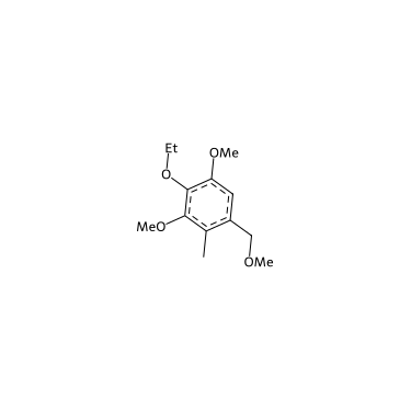 CCOc1c(OC)cc(COC)c(C)c1OC